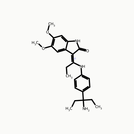 CC/C(Nc1ccc(C(N)(CC)CC)cc1)=C1/C(=O)Nc2cc(OC)c(OC)cc21